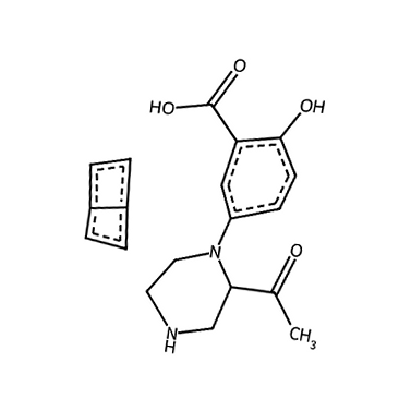 CC(=O)C1CNCCN1c1ccc(O)c(C(=O)O)c1.c1cc2ccc1-2